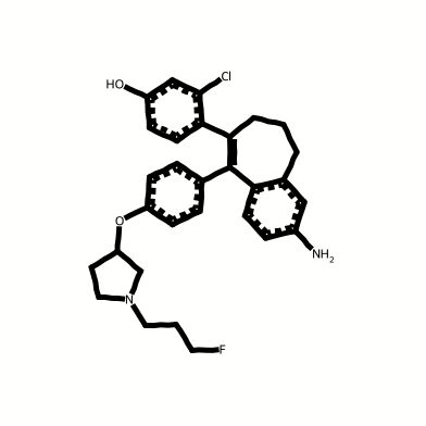 Nc1ccc2c(c1)CCCC(c1ccc(O)cc1Cl)=C2c1ccc(OC2CCN(CCCF)C2)cc1